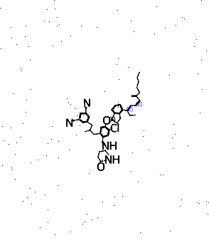 C=C(/C=C\C=C(/CC)c1cccc2c1CC[C@@H]2Oc1cc(CC(C)Cc2cc(C#N)cc(C#N)c2)c(CNC2CCC(=O)NC2)cc1Cl)CCCCC